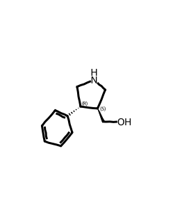 OC[C@@H]1CNC[C@H]1c1ccccc1